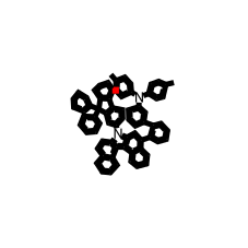 Cc1ccc(N(c2ccc(C)cc2)c2cccc(-c3ccccc3-c3cc4c(c5ccccc35)c3c5ccccc5ccc3n4-c3ccc4c(c3)C(c3ccccc3)(c3ccccc3)c3ccccc3-4)c2)cc1